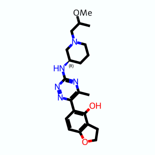 COC(C)CN1CCC[C@@H](Nc2nnc(-c3ccc4c(c3O)CCO4)c(C)n2)C1